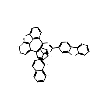 C1=C(c2ccccc2)c2c(oc3cccc(-c4nc(-c5ccc6ccccc6c5)nc(-c5ccc6c(c5)oc5ccccc56)n4)c23)CC1